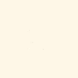 O=[Se](=O)([O-])[O-].[S]=[Ga+].[S]=[Ga+]